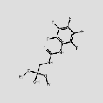 CCO[Si](O)(CNC(=O)Nc1c(F)c(F)c(F)c(F)c1F)OCC